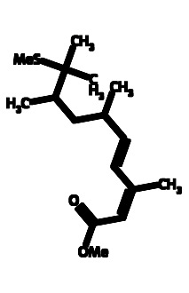 COC(=O)C=C(C)C=CC(C)CC(C)C(C)(C)SC